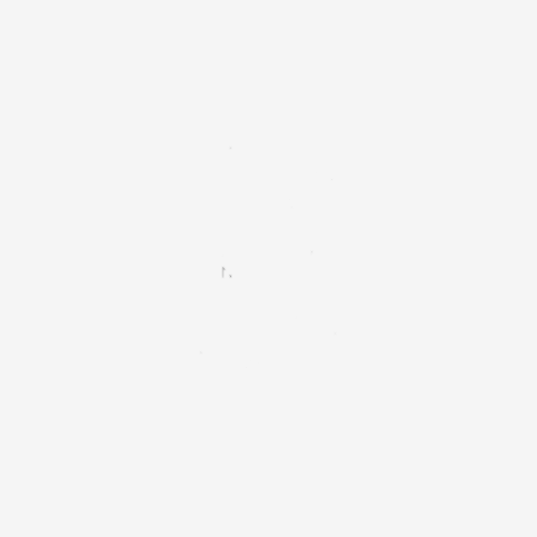 c1ccc(CC2=NCCc3ccccc32)cc1